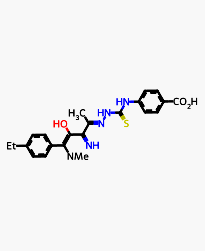 CCc1ccc(/C(NC)=C(\O)C(=N)/C(C)=N/NC(=S)Nc2ccc(C(=O)O)cc2)cc1